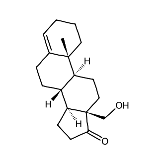 C[C@]12CCCC=C1CC[C@H]1[C@@H]3CCC(=O)[C@@]3(CO)CC[C@@H]12